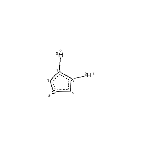 [3H]c1[c]scc1[3H]